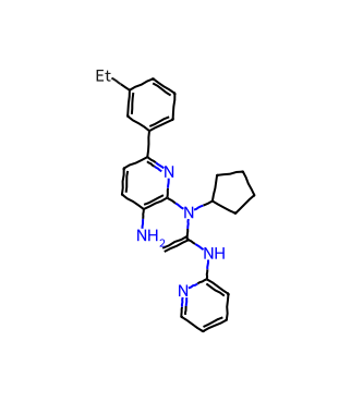 C=C(Nc1ccccn1)N(c1nc(-c2cccc(CC)c2)ccc1N)C1CCCC1